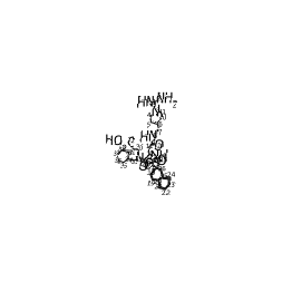 N=C(N)N1CCC(CNC(=O)CC(NS(=O)(=O)c2ccc3ccccc3c2)C(=O)N(CCC(=O)O)CC2CCCCC2)CC1